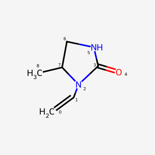 C=CN1C(=O)NCC1C